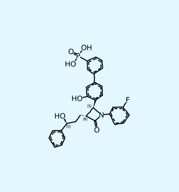 O=C1[C@H](CC[C@H](O)c2ccccc2)[C@@H](c2ccc(-c3cccc(P(=O)(O)O)c3)cc2O)N1c1cccc(F)c1